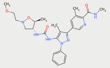 CNC(=O)c1ncc(-c2nn(-c3ccccc3)c(NC(=O)N[C@@H]3CN(CCOC)O[C@H]3C)c2C)cc1C